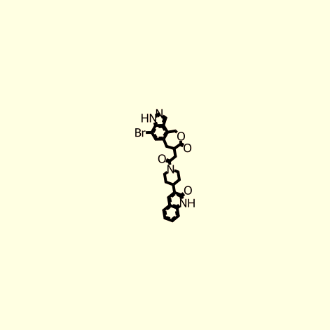 O=C1OCc2c(cc(Br)c3[nH]ncc23)CC1CC(=O)N1CCC(c2cc3ccccc3[nH]c2=O)CC1